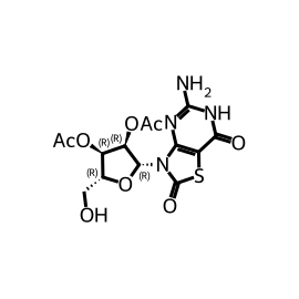 CC(=O)O[C@@H]1[C@H](OC(C)=O)[C@@H](CO)O[C@H]1n1c(=O)sc2c(=O)[nH]c(N)nc21